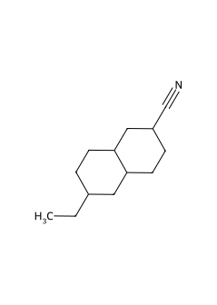 CCC1CCC2CC(C#N)CCC2C1